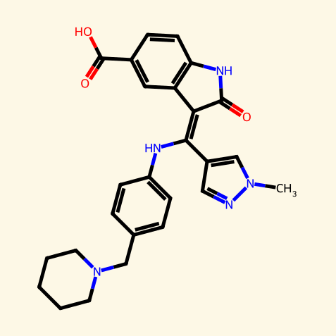 Cn1cc(C(Nc2ccc(CN3CCCCC3)cc2)=C2C(=O)Nc3ccc(C(=O)O)cc32)cn1